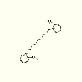 Cc1cccc[n+]1CCCCCCCCC[n+]1ccccc1C